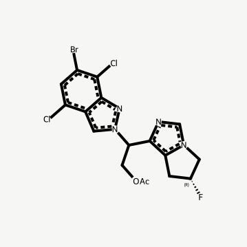 CC(=O)OCC(c1ncn2c1C[C@@H](F)C2)n1cc2c(Cl)cc(Br)c(Cl)c2n1